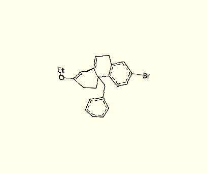 CCOC1=CC2=CCc3cc(Br)ccc3C2(Cc2ccccc2)CC1